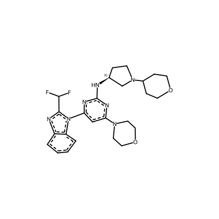 FC(F)c1nc2ccccc2n1-c1cc(N2CCOCC2)nc(N[C@H]2CCN(C3CCOCC3)C2)n1